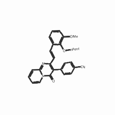 CCCCCOc1c(/C=C/c2nc3ccccn3c(=O)c2-c2ccc(C#N)cc2)cccc1OC